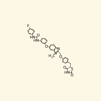 Cn1c(COc2ccc(CC3SC(=O)NC3=O)cc2)nc2ccc(Oc3cccc(NC(=O)Nc4ccc(F)cc4)c3)cc21